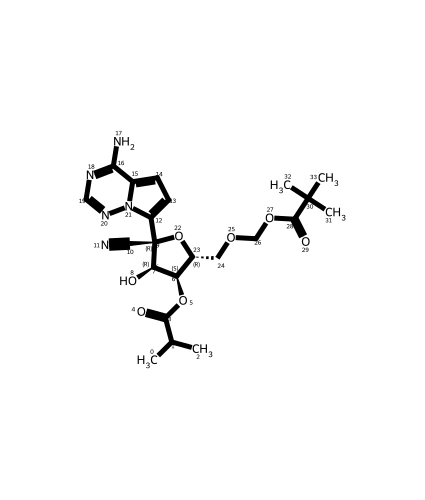 CC(C)C(=O)O[C@H]1[C@@H](O)[C@](C#N)(c2ccc3c(N)ncnn23)O[C@@H]1COCOC(=O)C(C)(C)C